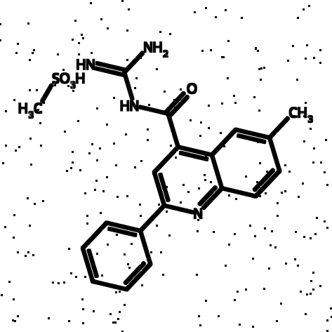 CS(=O)(=O)O.Cc1ccc2nc(-c3ccccc3)cc(C(=O)NC(=N)N)c2c1